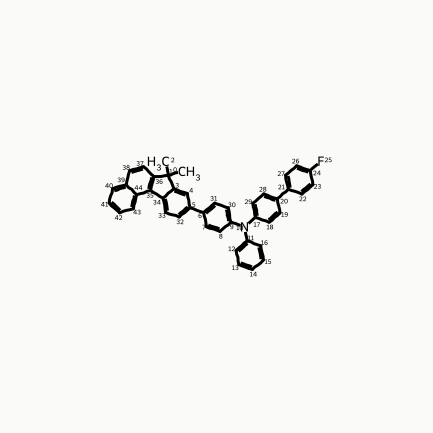 CC1(C)c2cc(-c3ccc(N(c4ccccc4)c4ccc(-c5ccc(F)cc5)cc4)cc3)ccc2-c2c1ccc1ccccc21